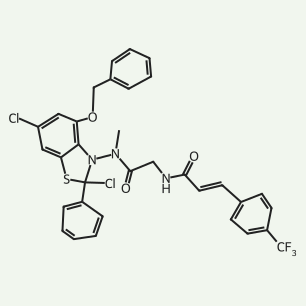 CN(C(=O)CNC(=O)C=Cc1ccc(C(F)(F)F)cc1)N1c2c(OCc3ccccc3)cc(Cl)cc2SC1(Cl)c1ccccc1